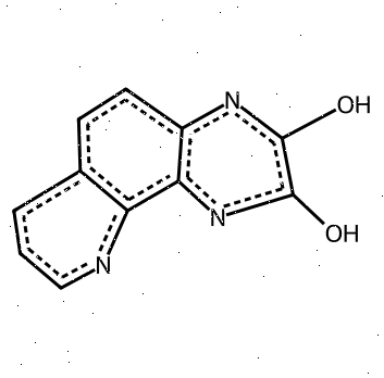 Oc1nc2ccc3cccnc3c2nc1O